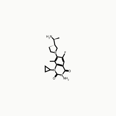 Cc1c(N2CC[C@H]([C@H](C)N)C2)c(F)cc2c(=O)n(N)c(=O)n(C3CC3)c12